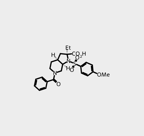 CC[C@@]1(C(=O)O)C[C@@H]2CCN(C(=O)c3ccccc3)C[C@@H]2N1S(=O)(=O)c1ccc(OC)cc1